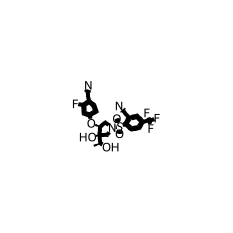 C[C@H](O)[C@@]1(O)CN(S(=O)(=O)c2ccc(C(F)(F)F)cc2C#N)C[C@@H]1Oc1ccc(C#N)c(F)c1